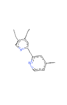 Cc1ccnc(-c2cc(C)c(C)cn2)c1